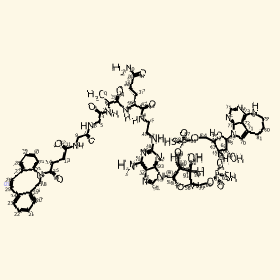 C[C@H](NC(=O)CNC(=O)CNC(=O)CCC(=O)N1Cc2ccccc2/C=C\c2ccccc21)C(=O)N[C@@H](CCC(N)=O)C(=O)NCCNc1nc(N)c2ncn([C@@H]3O[C@@H]4COP(=O)(S)O[C@H]5[C@@H](O)[C@H](n6cc7c8c(ncnc86)NCCC7)O[C@@H]5COP(=O)(S)O[C@@H]3[C@@H]4O)c2n1